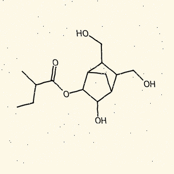 CCC(C)C(=O)OC1C(O)C2CC1C(CO)C2CO